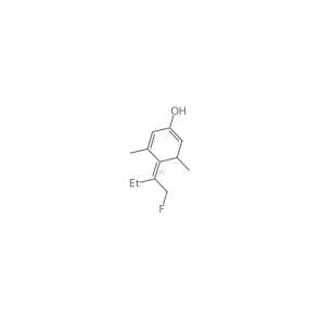 CC/C(CF)=C1\C(C)=CC(O)=CC1C